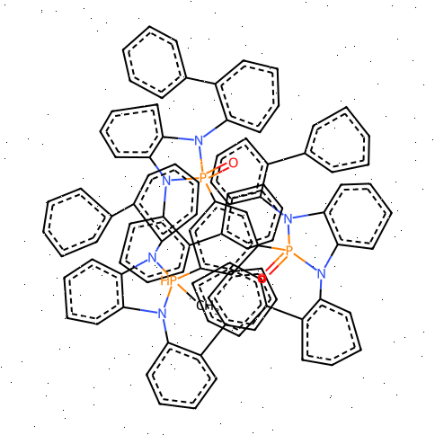 C[PH]1(c2cc(P3(=O)N(c4ccccc4-c4ccccc4)c4ccccc4N3c3ccccc3-c3ccccc3)cc(P3(=O)N(c4ccccc4-c4ccccc4)c4ccccc4N3c3ccccc3-c3ccccc3)c2)N(c2ccccc2-c2ccccc2)c2ccccc2N1c1ccccc1-c1ccccc1